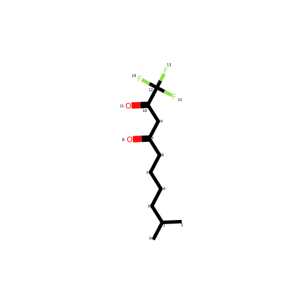 CC(C)CCCCC(=O)CC(=O)C(F)(F)F